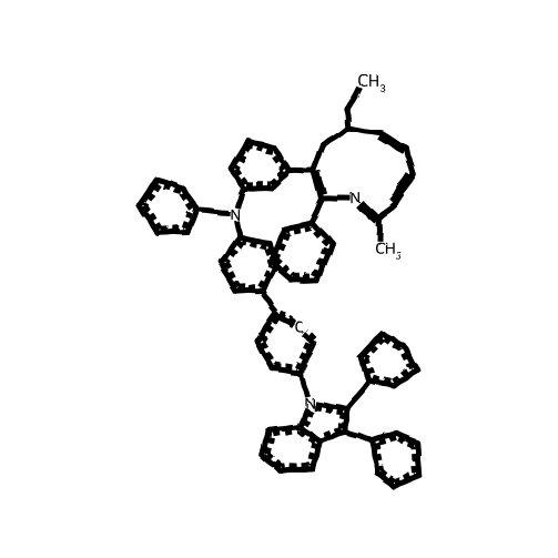 CCC1\C=C/C=C\C(C)=N\C(c2ccccc2)=C(\c2cccc(N(c3ccccc3)c3ccc(-c4ccc(-n5c(-c6ccccc6)c(-c6ccccc6)c6ccccc65)cc4)cc3)c2)C1